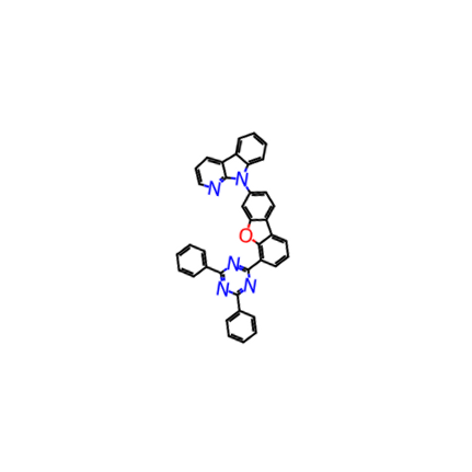 c1ccc(-c2nc(-c3ccccc3)nc(-c3cccc4c3oc3cc(-n5c6ccccc6c6cccnc65)ccc34)n2)cc1